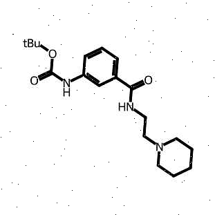 CC(C)(C)OC(=O)Nc1cccc(C(=O)NCCN2CCCCC2)c1